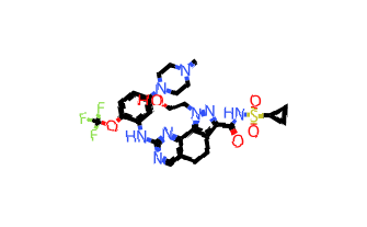 CN1CCN(c2ccc(OC(F)(F)F)c(Nc3ncc4c(n3)-c3c(c(C(=O)NS(=O)(=O)C5CC5)nn3CCO)CC4)c2)CC1